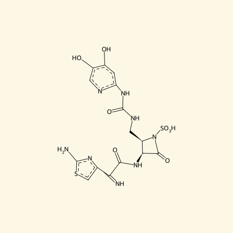 N=C(C(=O)N[C@@H]1C(=O)N(S(=O)(=O)O)[C@@H]1CNC(=O)Nc1cc(O)c(O)cn1)c1csc(N)n1